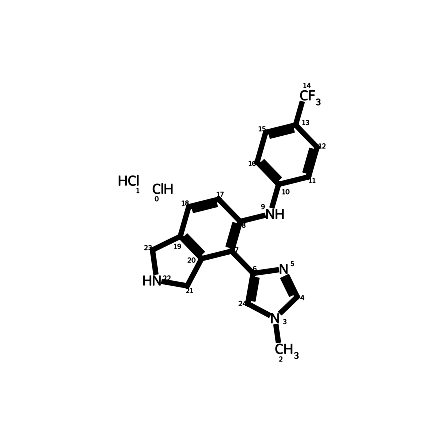 Cl.Cl.Cn1cnc(-c2c(Nc3ccc(C(F)(F)F)cc3)ccc3c2CNC3)c1